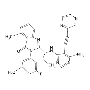 CCC(Nc1ncnc(N)c1C#Cc1cnccn1)c1nc2cccc(C)c2c(=O)n1-c1cc(C)cc(F)c1